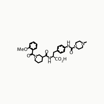 COc1ccccc1C(=O)N1CCCC(C(=O)N[C@@H](Cc2ccc(NC(=O)N3CCN(C)CC3)cc2)C(=O)O)C1